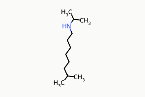 C[C](C)CCCCCCNC(C)C